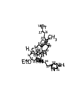 CCO[C@H]1CC[C@]2(C)[C@H]3CC[C@]4(C)[C@@H]([C@H](C)CCCC(C)C)CC[C@H]4[C@@H]3C[C@@H](NCCc3c[nH]cn3)[C@@]2(O)C1